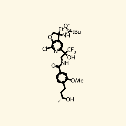 CCC1(N[S+]([O-])C(C)(C)C)COc2c1cc(C(O)(CNC(=O)c1ccc(CC[C@@H](C)O)c(OC)c1)C(F)(F)F)nc2Cl